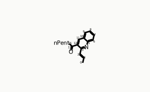 C/C=C/c1nc2ccccc2cc1C(=O)CCCCC